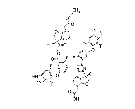 CCOC(=O)Cc1cccc2c1OCC2(C)C(=O)COC(=O)c1cc(Oc2c(F)cc3[nH]ccc3c2F)ccc1F.C[C@@]1(c2coc(-c3cc(Oc4c(F)cc5[nH]ccc5c4F)ccc3F)n2)COc2c(CC(=O)O)cccc21